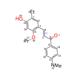 CCc1cc(/C=C/C(=O)c2ccc(NC)cc2)c(OC(C)C)cc1O